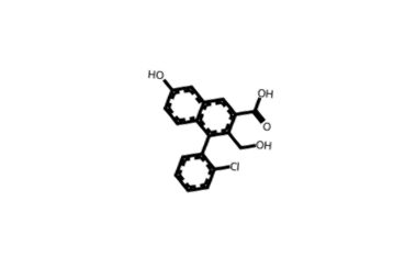 O=C(O)c1cc2cc(O)ccc2c(-c2ccccc2Cl)c1CO